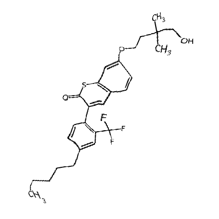 CCCCCc1ccc(-c2cc3ccc(OCCC(C)(C)CO)cc3sc2=O)c(C(F)(F)F)c1